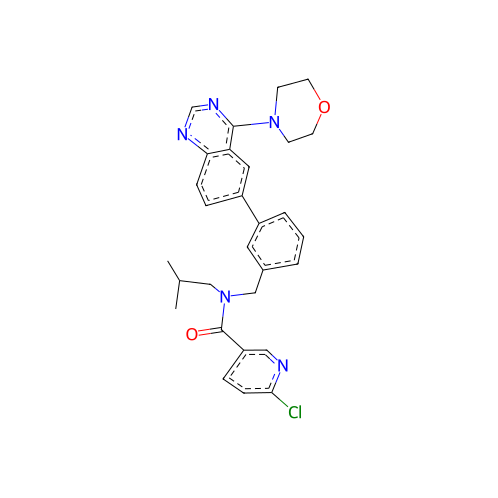 CC(C)CN(Cc1cccc(-c2ccc3ncnc(N4CCOCC4)c3c2)c1)C(=O)c1ccc(Cl)nc1